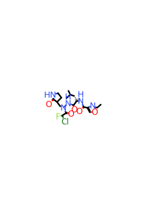 Cc1nc(C(=O)N[C@@H](CC(C)C)C(=O)NN(CC2CCNC2=O)C(=O)C(F)Cl)co1